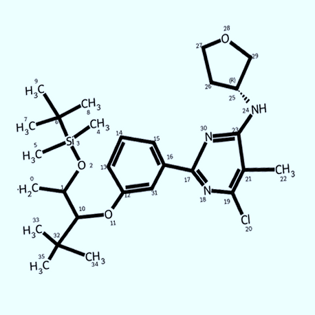 [CH2]C(O[Si](C)(C)C(C)(C)C)C(Oc1cccc(-c2nc(Cl)c(C)c(N[C@@H]3CCOC3)n2)c1)C(C)(C)C